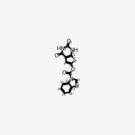 O=C(Oc1cc2c(=O)[nH]c(=O)[nH]c2s1)n1cnc2ccccc21